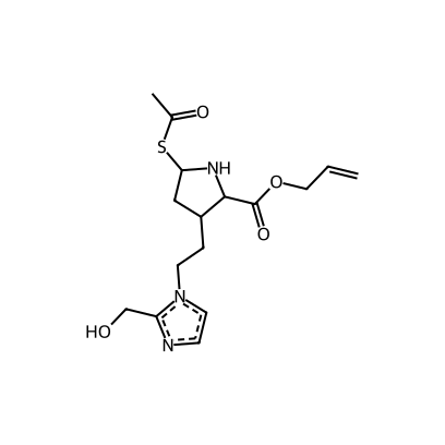 C=CCOC(=O)C1NC(SC(C)=O)CC1CCn1ccnc1CO